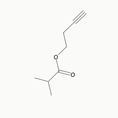 C#CCCOC(=O)C(C)C